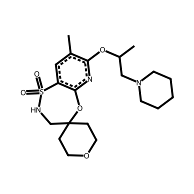 Cc1cc2c(nc1OC(C)CN1CCCCC1)OC1(CCOCC1)CNS2(=O)=O